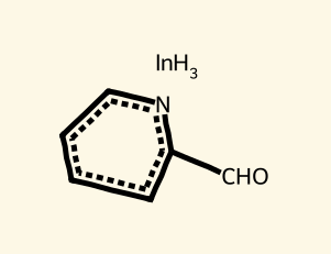 O=Cc1ccccn1.[InH3]